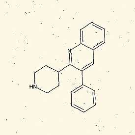 c1ccc(-c2cc3ccccc3nc2C2CCNCC2)cc1